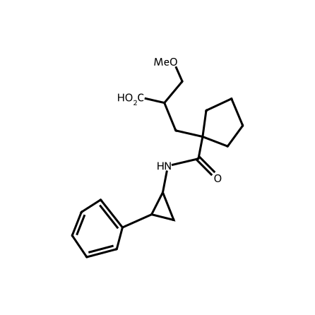 COCC(CC1(C(=O)NC2CC2c2ccccc2)CCCC1)C(=O)O